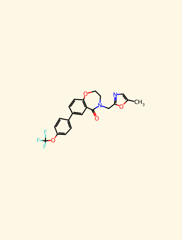 Cc1cnc(CN2CCOc3ccc(-c4ccc(OC(F)(F)F)cc4)cc3C2=O)o1